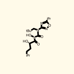 CC(C)CC[C@H](O)C(=O)N(O)C(=O)N(CC(C)(C)C)c1noc(C(C)C)n1